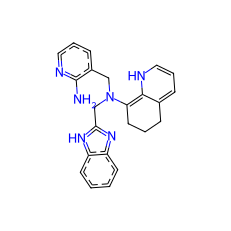 Nc1ncccc1CN(Cc1nc2ccccc2[nH]1)C1=C2NC=CC=C2CCC1